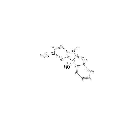 COC(=O)C(O)(c1ccccc1)c1cccc(N)c1